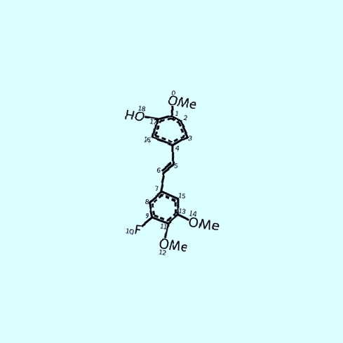 COc1ccc(C=Cc2cc(F)c(OC)c(OC)c2)cc1O